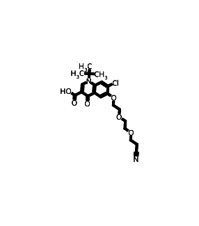 CC(C)(C)n1cc(C(=O)O)c(=O)c2cc(OCCOCCOCCC#N)c(Cl)cc21